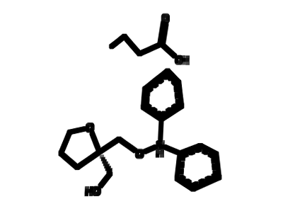 CCCC(=O)O.OC[C@]1(CO[SiH](c2ccccc2)c2ccccc2)CCCO1